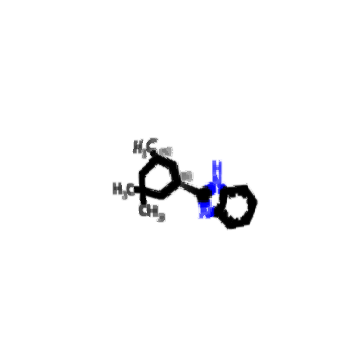 C[C@H]1C[C@@H](c2nc3ccccc3[nH]2)CC(C)(C)C1